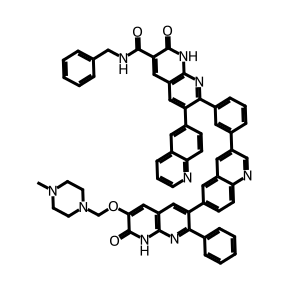 CN1CCN(COc2cc3cc(-c4ccc5ncc(-c6cccc(-c7nc8[nH]c(=O)c(C(=O)NCc9ccccc9)cc8cc7-c7ccc8ncccc8c7)c6)cc5c4)c(-c4ccccc4)nc3[nH]c2=O)CC1